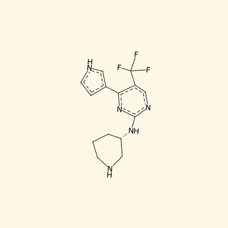 FC(F)(F)c1cnc(N[C@H]2CCCNC2)nc1-c1cc[nH]c1